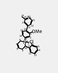 COc1cc([N+]2(C)CC=CCC2c2ccccc2Cl)ccc1-c1ccnc(C)c1